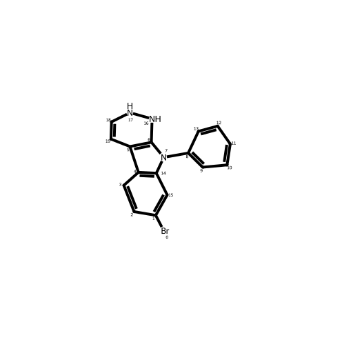 Brc1ccc2c3c(n(-c4ccccc4)c2c1)NNC=C3